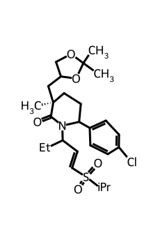 CCC(/C=C/S(=O)(=O)C(C)C)N1C(=O)[C@@](C)(CC2COC(C)(C)O2)CCC1c1ccc(Cl)cc1